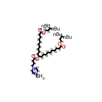 CCCCC(CCCC)CCOC(=O)CCCCCCCCCC(CCCCCCCCCC(=O)OCCC(CCCC)CCCC)OC(=O)CCCN1CCN(C)CC1